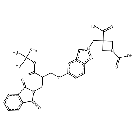 CC(C)(C)OC(=O)C(COc1ccc2nn(CC3(C(N)=O)CN(C(=O)O)C3)cc2c1)ON1C(=O)c2ccccc2C1=O